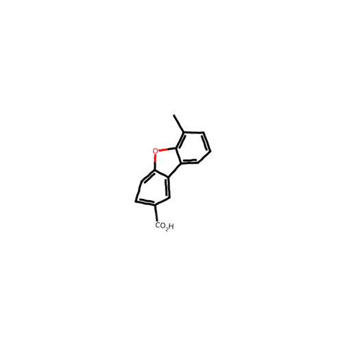 Cc1cccc2c1oc1ccc(C(=O)O)cc12